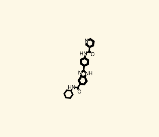 O=C(Nc1ccc(-c2nc3cc(C(=O)NC4CCCCC4)ccc3[nH]2)cc1)c1cccnc1